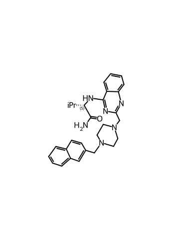 CC(C)[C@H](Nc1nc(CN2CCN(Cc3ccc4ccccc4c3)CC2)nc2ccccc12)C(N)=O